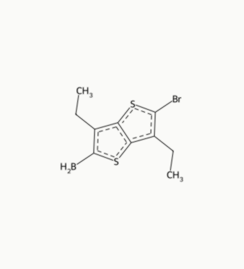 Bc1sc2c(CC)c(Br)sc2c1CC